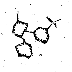 CS(=O)(=O)c1cccc(-c2cc(Cl)cnc2-c2cccnc2)c1.Cl